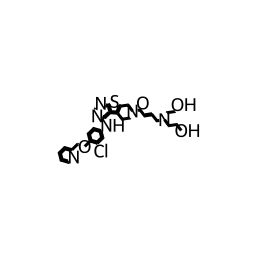 O=C(C=CCN(CCO)CCO)N1CCc2c(sc3ncnc(Nc4ccc(OCc5ccccn5)c(Cl)c4)c23)C1